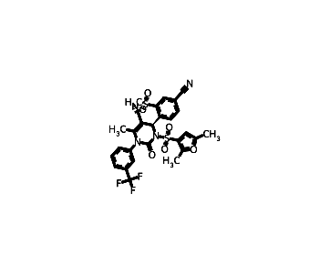 CC1=C(C#N)[C@@H](c2ccc(C#N)cc2S(C)(=O)=O)N(S(=O)(=O)c2cc(C)oc2C)C(=O)N1c1cccc(C(F)(F)F)c1